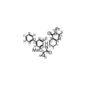 COC1(C(=O)N[C@H]2CCc3nc(C)n(C(C)C)c(=O)c3[C@H]2Cc2cccc(-c3ccccc3)c2)CC1